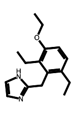 CCOc1ccc(CC)c(Cc2ncc[nH]2)c1CC